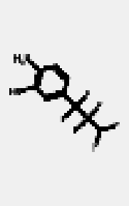 Nc1ccc(C(F)(F)C(F)(F)C(F)F)cc1S